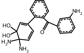 Nc1cccc(C(=O)c2ccccc2C2=CC(O)(O)C(N)(N)C=C2)c1